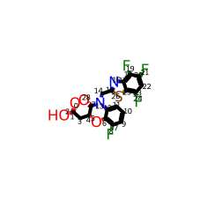 O=C(O)CC1Oc2c(F)cccc2N(Cc2nc3c(F)c(F)cc(F)c3s2)C1=O